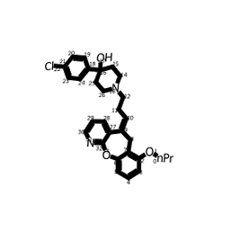 CCCOc1cccc2c1C/C(=C/CCN1CCC(O)(c3ccc(Cl)cc3)CC1)c1cccnc1O2